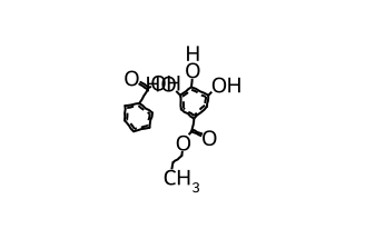 CCCOC(=O)c1cc(O)c(O)c(O)c1.O=C(O)c1ccccc1